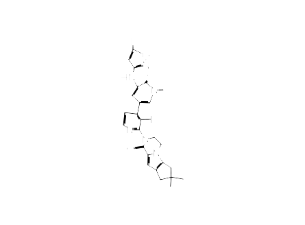 CCc1cc(Nc2cc(-c3ccnc(N4CCn5c(cc6c5CC(C)(C)C6)C4=O)c3CC)cn(C)c2=O)no1